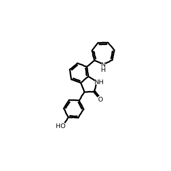 O=C1Nc2c(C3=CC=CC=CN3)cccc2C1c1ccc(O)cc1